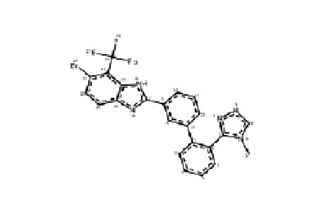 Cn1cnnc1-c1ccccc1-c1cccc(-c2nc3ccc(Br)c(C(F)(F)F)c3[nH]2)c1